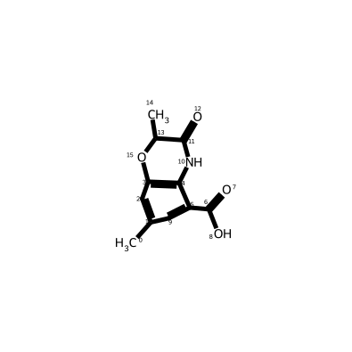 Cc1cc2c(c(C(=O)O)c1)NC(=O)C(C)O2